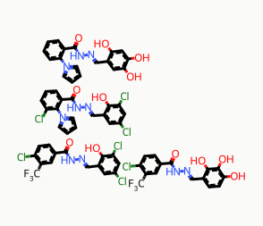 O=C(NN=Cc1cc(Cl)cc(Cl)c1O)c1ccc(Cl)c(C(F)(F)F)c1.O=C(NN=Cc1cc(Cl)cc(Cl)c1O)c1cccc(Cl)c1-n1cccc1.O=C(NN=Cc1cc(O)c(O)cc1O)c1ccccc1-n1cccc1.O=C(NN=Cc1ccc(O)c(O)c1O)c1ccc(Cl)c(C(F)(F)F)c1